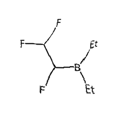 CCB(CC)C(F)C(F)F